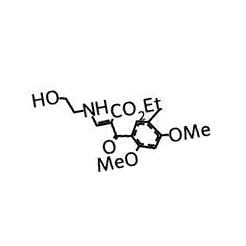 CCOC(=O)/C(=C\NCCO)C(=O)c1cc(C)c(OC)cc1OC